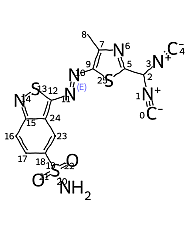 [C-]#[N+]C([N+]#[C-])c1nc(C)c(/N=N/c2snc3ccc(S(N)(=O)=O)cc23)s1